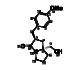 COc1ccc(C[C@H]2C[C@@]3(CO)CCCN3C2=O)cc1